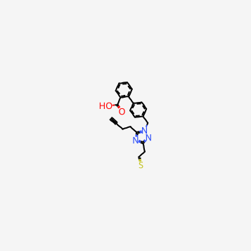 C#CCCc1nc(CC=S)nn1Cc1ccc(-c2ccccc2C(=O)O)cc1